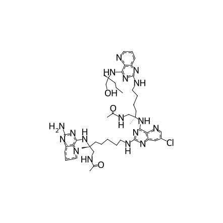 CCC[C@](C)(CO)Nc1nc(NCCCC[C@](C)(CNC(C)=O)Nc2nc(NCCCCC[C@](C)(CNC(C)=O)Nc3nc(N)nc4cccnc34)nc3cc(Cl)cnc23)nc2cccnc12